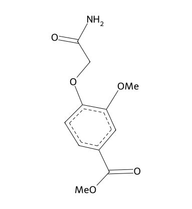 COC(=O)c1ccc(OCC(N)=O)c(OC)c1